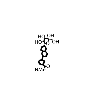 CNC(=O)c1cccc(-c2ccc3cc([C@H]4O[C@H](CO)[C@@H](O)[C@H](O)[C@@H]4O)ccc3c2)c1